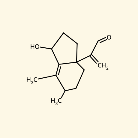 C=C(C=O)C12CCC(C)C(C)=C1C(O)CC2